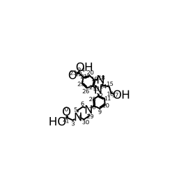 O=C(O)CN1CCN(c2cccc(-n3c(CCO)nc4cc(C(=O)O)ccc43)c2)CC1